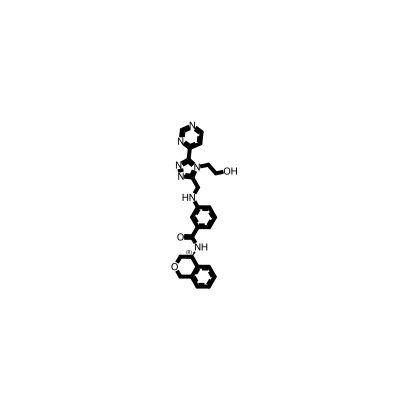 O=C(N[C@H]1COCc2ccccc21)c1cccc(NCc2nnc(-c3ccncn3)n2CCO)c1